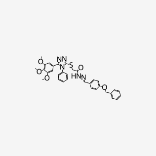 COc1cc(-c2nnc(SCC(=O)N/N=C/c3ccc(OCc4ccccc4)cc3)n2-c2ccccc2)cc(OC)c1OC